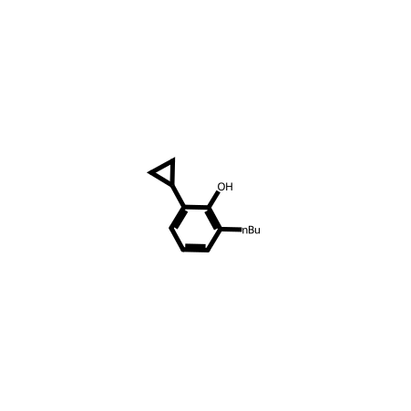 CCCCc1cccc(C2CC2)c1O